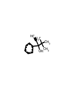 C#CC(O)(c1ccccc1)C(C)(C)C